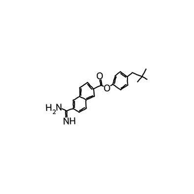 CC(C)(C)Cc1ccc(OC(=O)c2ccc3cc(C(=N)N)ccc3c2)cc1